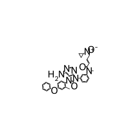 Cc1cc(Oc2ccccc2)ccc1-n1c(=O)n(-c2cccc(N(C)C(=O)/C=C/C[N+](C)([O-])C3CC3)c2)c2ncnc(N)c21